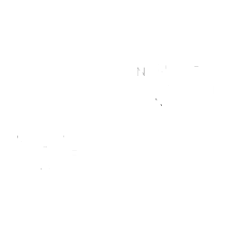 O=C(Cl)C(F)(F)c1ccc(-c2noc(C(F)(F)F)n2)cc1